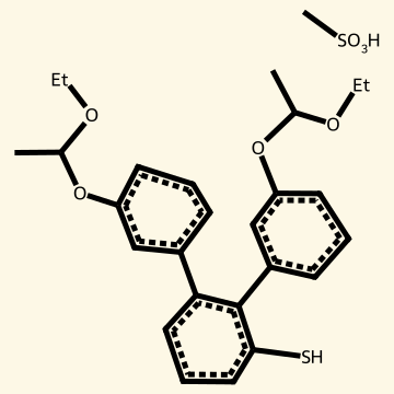 CCOC(C)Oc1cccc(-c2cccc(S)c2-c2cccc(OC(C)OCC)c2)c1.CS(=O)(=O)O